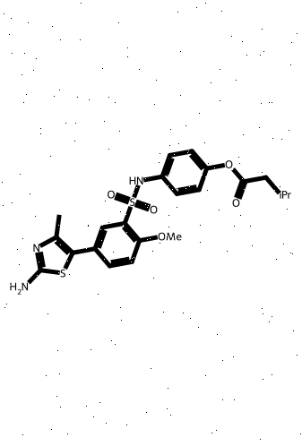 COc1ccc(-c2sc(N)nc2C)cc1S(=O)(=O)Nc1ccc(OC(=O)CC(C)C)cc1